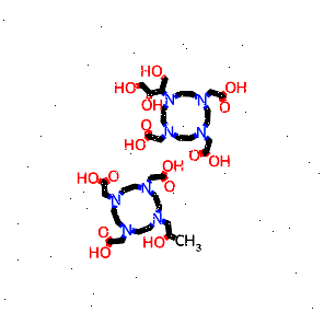 CC(O)CN1CCN(CC(=O)O)CCN(CC(=O)O)CCN(CC(=O)O)CC1.O=C(O)CN1CCN(CC(=O)O)CCN(C(CO)C(O)CO)CCN(CC(=O)O)CC1